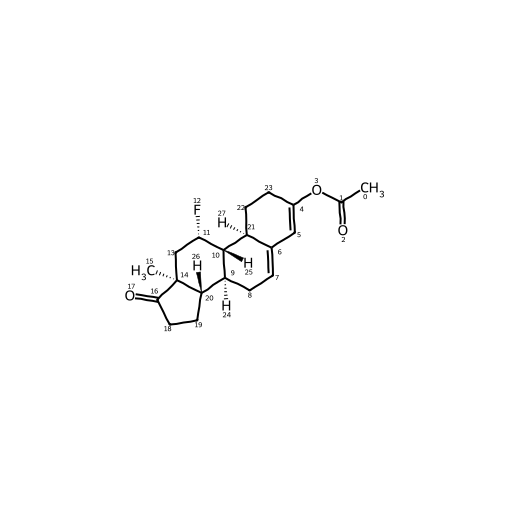 CC(=O)OC1=CC2=CC[C@@H]3[C@H]([C@@H](F)C[C@]4(C)C(=O)CC[C@@H]34)[C@H]2CC1